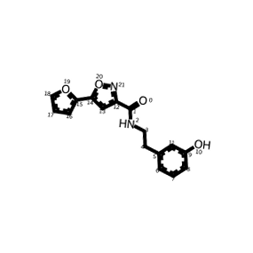 O=C(NCCc1cccc(O)c1)c1cc(-c2ccco2)on1